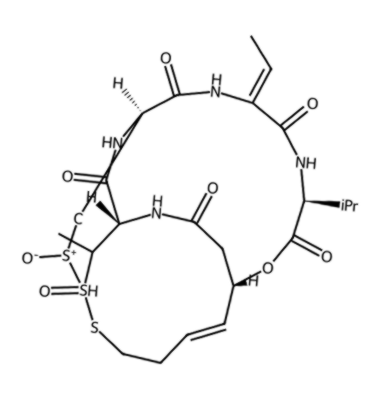 C/C=C1\NC(=O)[C@H]2C[S+]([O-])[SH]3(=O)SCC/C=C/[C@H](CC(=O)N[C@@H](C(=O)N2)C3C)OC(=O)[C@H](C(C)C)NC1=O